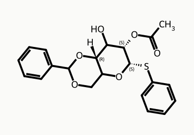 CC(=O)O[C@H]1C(O)[C@H]2OC(c3ccccc3)OCC2O[C@H]1Sc1ccccc1